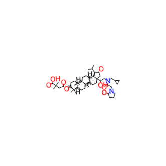 CC(C)C1=C2[C@H]3CC[C@@H]4[C@@]5(C)CC[C@H](OC(=O)CC(C)(C)C(=O)O)C(C)(C)[C@@H]5CC[C@@]4(C)[C@]3(C)CCC2(C(O)CN(CC2CC2)C(=O)CN2CCCC2=O)CC1=O